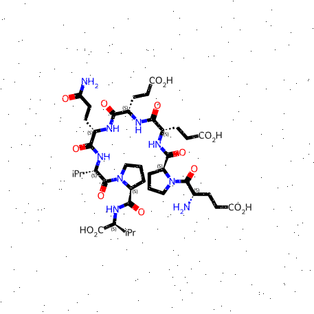 CC(C)[C@H](NC(=O)[C@@H]1CCCN1C(=O)[C@@H](NC(=O)[C@H](CCC(N)=O)NC(=O)[C@H](CCC(=O)O)NC(=O)[C@H](CCC(=O)O)NC(=O)[C@@H]1CCCN1C(=O)[C@@H](N)CCC(=O)O)C(C)C)C(=O)O